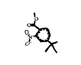 COC(=O)c1ccc(C(C)(C)C)cc1[N+](=O)[O-]